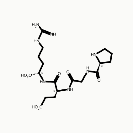 N=C(N)NCCC[C@H](NC(=O)[C@H](CCC(=O)O)NC(=O)CNC(=O)[C@@H]1CCCN1)C(=O)O